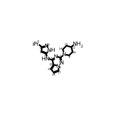 CC(C)c1cc(Nc2nc(N3CCC(N)CC3)nn3cccc23)[nH]n1